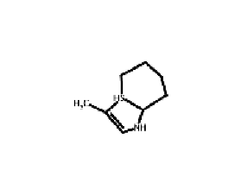 CC1=CNC2CCCC[SH]12